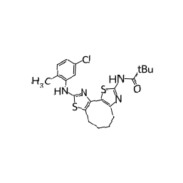 Cc1ccc(Cl)cc1Nc1nc2c(s1)CCCCc1nc(NC(=O)C(C)(C)C)sc1-2